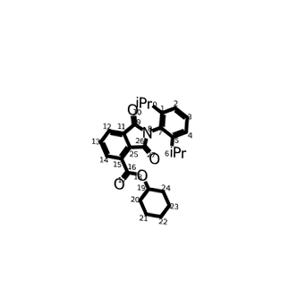 CC(C)c1cccc(C(C)C)c1N1C(=O)c2cccc(C(=O)OC3CCCCC3)c2C1=O